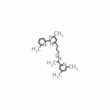 C/C(=N\OCCCc1cc(C)nc(-c2cccc(C)n2)n1)c1cc(C)cc(C)n1